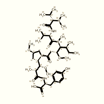 CC[C@H](C)[C@@H]([C@@H](CC(=O)N1C[C@H](OC)C[C@H]1[C@H](OC)[C@@H](C)C(=O)N[C@@H](Cc1ccc(O)cc1)C(=O)O)OC)N(C)C(=O)[C@@H](NC(=O)[C@H](C(C)C)N(C)C)C(C)C